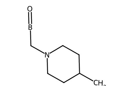 CC1CCN(CB=O)CC1